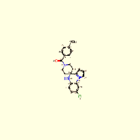 CC(C)(C)c1ccc(C(=O)N2CCC3(CC2)Nc2ccc(Cl)cc2-n2cccc23)cc1